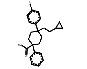 O=C(O)C1(c2ccccc2)CCC(OCC2CC2)(c2ccc(Br)cc2)CC1